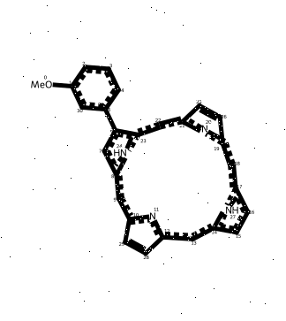 COc1cccc(-c2cc3cc4nc(cc5ccc(cc6nc(cc2[nH]3)C=C6)[nH]5)C=C4)c1